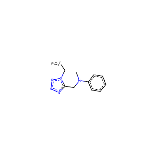 CCOC(=O)Cn1nnnc1CN(C)c1ccccc1